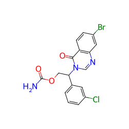 NC(=O)OCC(c1cccc(Cl)c1)n1cnc2cc(Br)ccc2c1=O